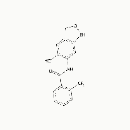 O=C(Nc1cc2c(cc1O)COB2)c1ccccc1C(F)(F)F